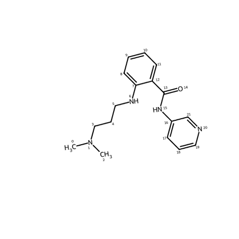 CN(C)CCCNc1ccccc1C(=O)Nc1cccnc1